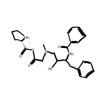 CN(CC(=O)OC(=O)[C@@H]1CCCN1)CC(O)C(Cc1ccccc1)NC(=O)c1ccccc1